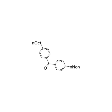 CCCCCCCCCc1ccc(C(=O)c2ccc(CCCCCCCC)cc2)cc1